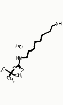 CC(C)(C)OC(=O)NCCCCCCCCN.Cl